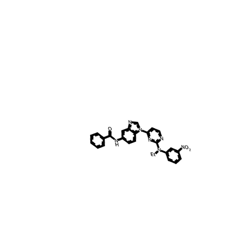 CCN(c1cccc([N+](=O)[O-])c1)c1nccc(-n2cnc3cc(NC(=O)c4ccccc4)ccc32)n1